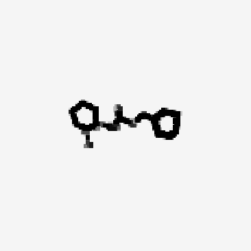 CC(=O)[C@@H]1CCCC[C@H]1NC(=O)OCc1ccccc1